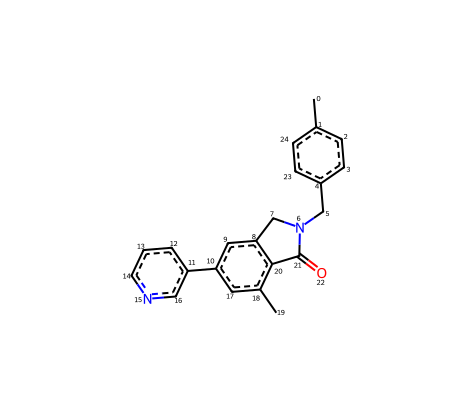 Cc1ccc(CN2Cc3cc(-c4cccnc4)cc(C)c3C2=O)cc1